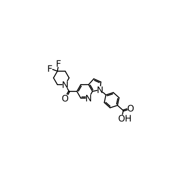 O=C(O)c1ccc(-n2ccc3cc(C(=O)N4CCC(F)(F)CC4)cnc32)cc1